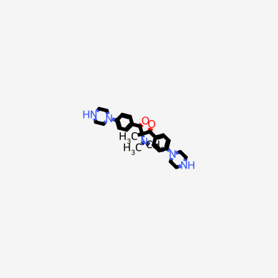 CN(C)C(C)(C(=O)c1ccc(N2CCNCC2)cc1)C(=O)c1ccc(N2CCNCC2)cc1